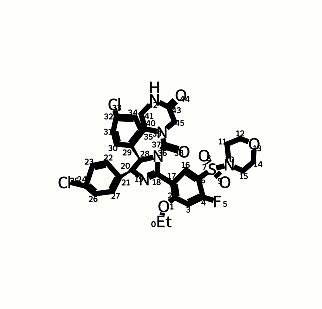 CCOc1cc(F)c(S(=O)(=O)N2CCOCC2)cc1C1=N[C@@H](c2ccc(Cl)cc2)[C@@H](c2ccc(Cl)cc2)N1C(=O)N1CCNC(=O)C1